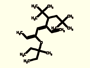 C=C/C(=C\C(=C/C)OC(C)(CC)CC)C(CC(C)(C)C)C(C)(C)C